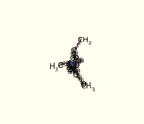 C=CCCCCCCOc1ccc(C(=O)Oc2cc(/C=N/N(CCCCCC)c3nc4cccnc4s3)c(OC(=O)c3ccc(OCCCCCCOC)cc3)c3ccccc23)cc1